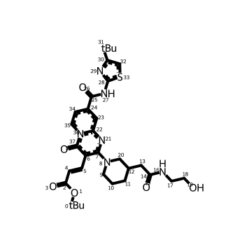 CC(C)(C)OC(=O)C=Cc1c(N2CCCC(CC(=O)NCCO)C2)nc2cc(C(=O)Nc3nc(C(C)(C)C)cs3)ccn2c1=O